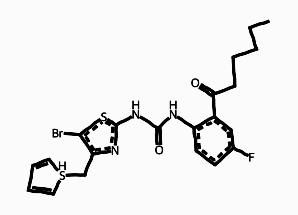 CCCCCC(=O)c1cc(F)ccc1NC(=O)Nc1nc(C[SH]2C=CC=C2)c(Br)s1